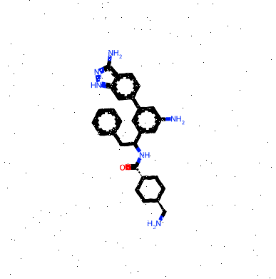 NC[C@H]1CC[C@H](C(=O)NC(Cc2ccccc2)c2cc(N)cc(-c3ccc4c(N)n[nH]c4c3)c2)CC1